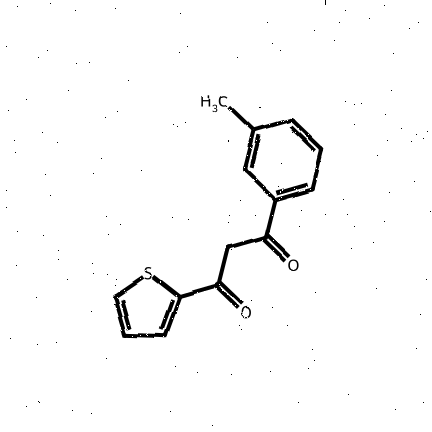 Cc1cccc(C(=O)CC(=O)c2cccs2)c1